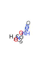 CN1C(=O)CC2=C(C=CC2)c2ccc(C(=O)NCCN3CCN(C4CCCCC4)CC3)cc21